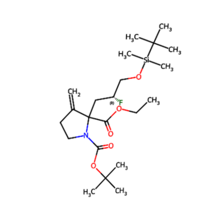 C=C1CCN(C(=O)OC(C)(C)C)C1(C[C@@H](F)CO[Si](C)(C)C(C)(C)C)C(=O)OCC